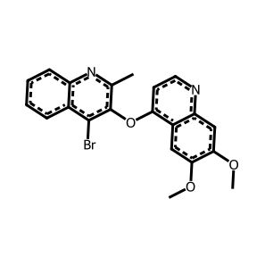 COc1cc2nccc(Oc3c(C)nc4ccccc4c3Br)c2cc1OC